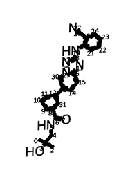 CC(C)(O)CNC(=O)c1cccc(-c2ccc3nc(Nc4ccccc4C#N)nn3c2)c1